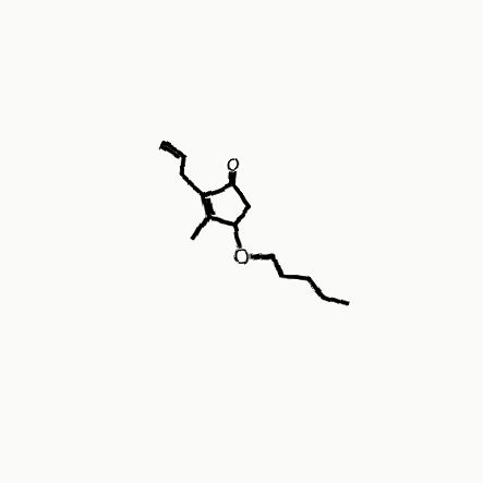 C=CCC1=C(C)C(OCCCCC)CC1=O